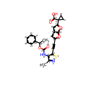 Cc1nsc(C#Cc2cc3cc(C4(C(=O)O)CC4)oc3o2)c1NC(=O)OC(C)c1ccccc1